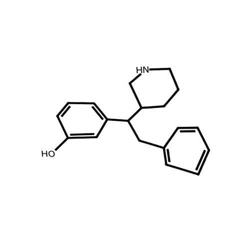 Oc1cccc(C(Cc2ccccc2)C2CCCNC2)c1